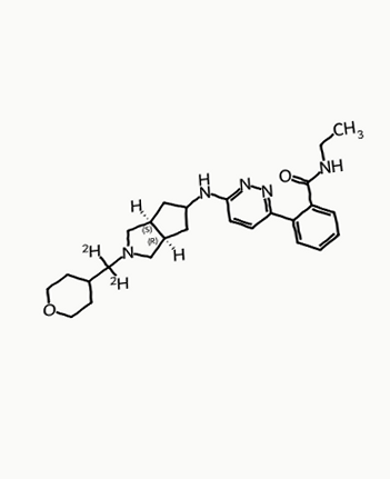 [2H]C([2H])(C1CCOCC1)N1C[C@H]2CC(Nc3ccc(-c4ccccc4C(=O)NCC)nn3)C[C@H]2C1